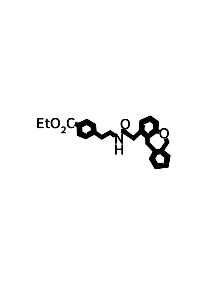 CCOC(=O)c1ccc(CCNC(=O)Cc2cccc3c2Cc2ccccc2CO3)cc1